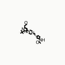 COCCc1cc(N2CCN(CC[C@@H]3CC[C@H](NC(C)=O)C3)CC2)nc(C(C)(C)C)n1